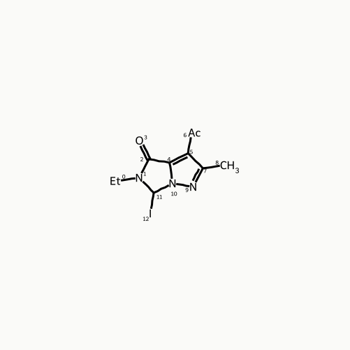 CCN1C(=O)c2c(C(C)=O)c(C)nn2C1I